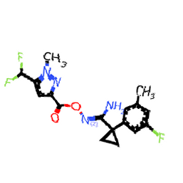 Cc1cc(F)cc(C2(/C(N)=N/OC(=O)c3cc(C(F)F)n(C)n3)CC2)c1